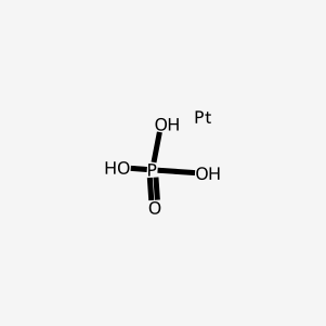 O=P(O)(O)O.[Pt]